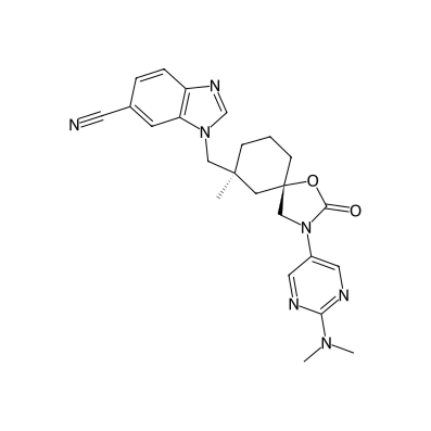 CN(C)c1ncc(N2C[C@@]3(CCC[C@](C)(Cn4cnc5ccc(C#N)cc54)C3)OC2=O)cn1